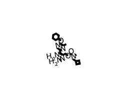 Cc1nc(/C(N)=C(\COC(=O)N(C)CC2CCC2)N(C)N)cnc1OC1CCCCC1